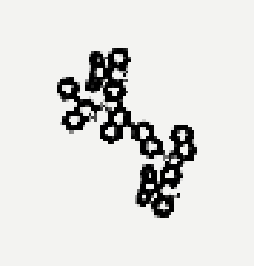 c1ccc(-c2cc(-n3c4cc5c(cc4c4cc(-c6ccc7cc(-n8c9cc%10c(cc9c9ccc%11ccccc%11c98)Sc8ccccc8C%108c9ccccc9-c9ccccc98)ccc7c6)c6ccccc6c43)Sc3ccccc3C53c4ccccc4-c4ccccc43)nc3ccccc23)cc1